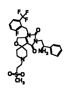 CS(=O)(=O)CCN1CCC2(CC1)OCc1c2c(=O)n(C[C@H](N)c2ccccc2)c(=O)n1Cc1c(F)cccc1C(F)(F)F